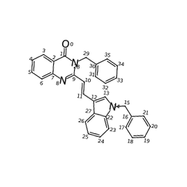 O=c1c2ccccc2nc(C=Cc2cn(Cc3ccccc3)c3ccccc23)n1Cc1ccccc1